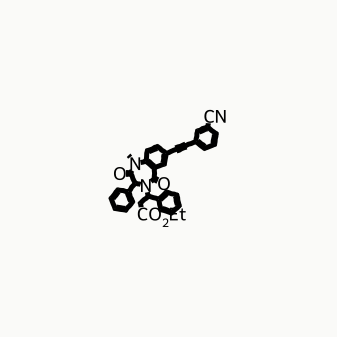 CCOC(=O)CC(c1ccccc1)N1C(=O)c2cc(C#Cc3cccc(C#N)c3)ccc2N(C)C(=O)C1c1ccccc1